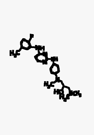 Cc1ccc(F)c(Nc2ccnc(Nc3ccc(N(C)CC(O)CN(C)C)cc3)n2)c1